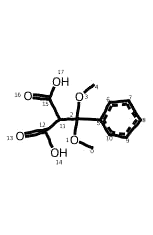 COC(OC)(c1ccccc1)C(C(=O)O)C(=O)O